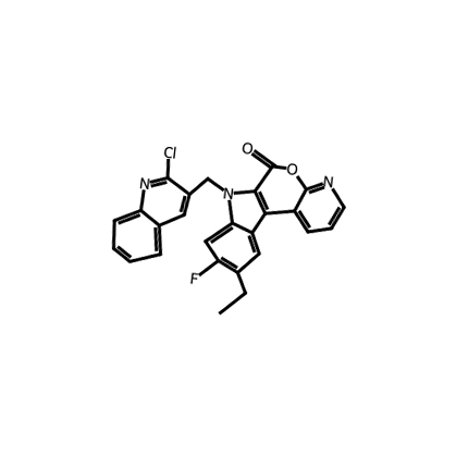 CCc1cc2c3c4cccnc4oc(=O)c3n(Cc3cc4ccccc4nc3Cl)c2cc1F